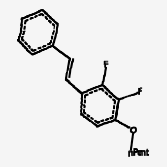 CCCCCOc1ccc(C=Cc2ccccc2)c(F)c1F